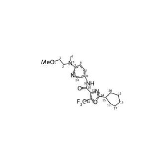 COCCN(C)c1ccc(NC(=O)c2nc(C3CCCCC3)oc2C(F)(F)F)cn1